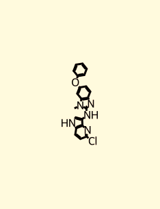 Cn1c(Nc2c[nH]c3ccc(Cl)nc23)nc2ccc(Oc3ccccc3)cc21